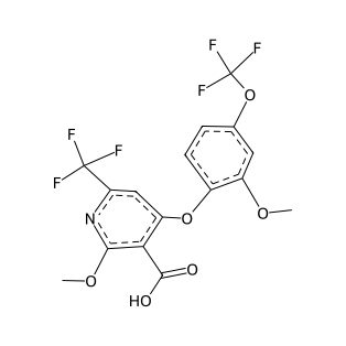 COc1cc(OC(F)(F)F)ccc1Oc1cc(C(F)(F)F)nc(OC)c1C(=O)O